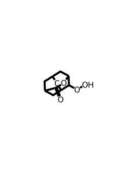 O=C1OC2CC3CC1CC(C3)C2OO